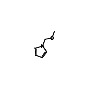 COCn1[c]ccc1